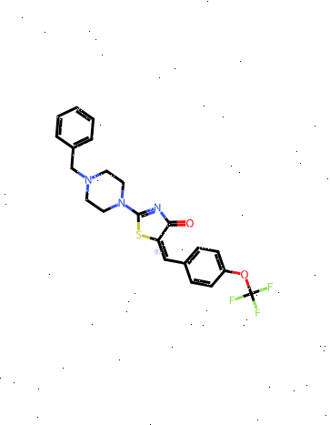 O=C1N=C(N2CCN(Cc3ccccc3)CC2)S/C1=C/c1ccc(OC(F)(F)F)cc1